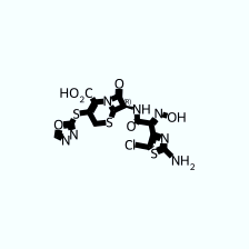 Nc1nc(C(=NO)C(=O)N[C@@H]2C(=O)N3C(C(=O)O)=C(Sc4nnco4)CSC23)c(Cl)s1